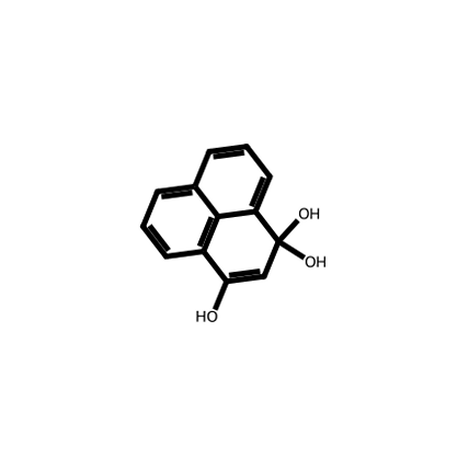 OC1=CC(O)(O)c2cccc3cccc1c23